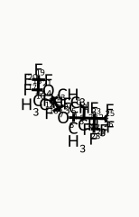 CCC(C)(C(C)(C)OC(F)(F)C(C)(C)OC(C)(F)C(F)(F)F)C(F)(C(F)F)C(F)(F)F